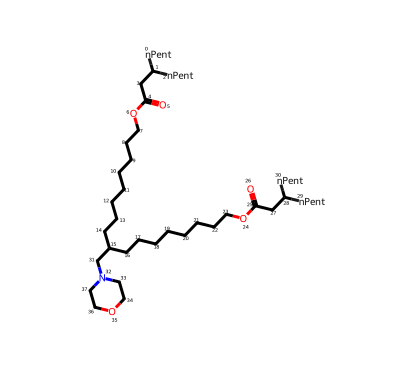 CCCCCC(CCCCC)CC(=O)OCCCCCCCCC(CCCCCCCCOC(=O)CC(CCCCC)CCCCC)CN1CCOCC1